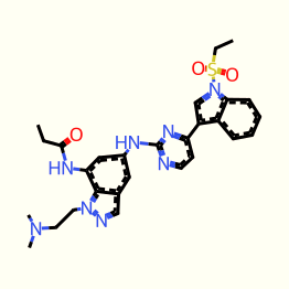 CCC(=O)Nc1cc(Nc2nccc(-c3cn(S(=O)(=O)CC)c4ccccc34)n2)cc2cnn(CCN(C)C)c12